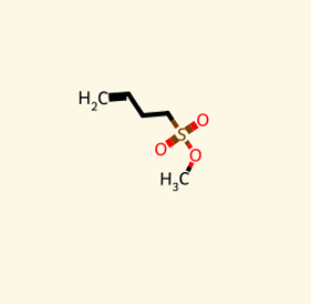 C=CCCS(=O)(=O)OC